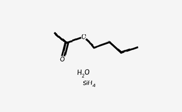 CCCCOC(C)=O.O.[SiH4]